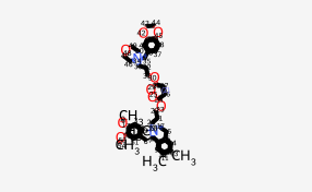 COc1ccc(C[C@@H]2c3cc(C)c(C)cc3CC[N@@+]2(C)CCCOC(=O)/C=C\C(=O)OCCC[N+]2(Cc3ccc4c(c3)OCCO4)CCOCC2)cc1OC